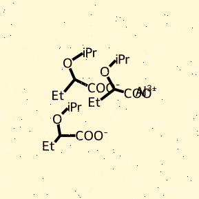 CCC(OC(C)C)C(=O)[O-].CCC(OC(C)C)C(=O)[O-].CCC(OC(C)C)C(=O)[O-].[Al+3]